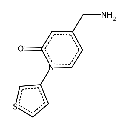 NCc1ccn(-c2ccsc2)c(=O)c1